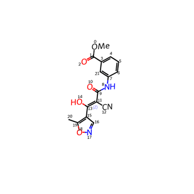 COC(=O)c1cccc(NC(=O)/C(C#N)=C(\O)c2cnoc2C)c1